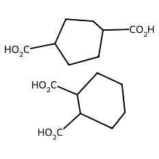 O=C(O)C1CCC(C(=O)O)CC1.O=C(O)C1CCCCC1C(=O)O